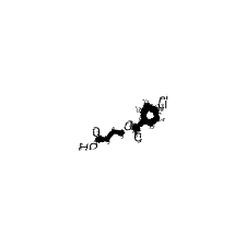 O=C(O)CCCOC(=O)c1ccc(Cl)cc1